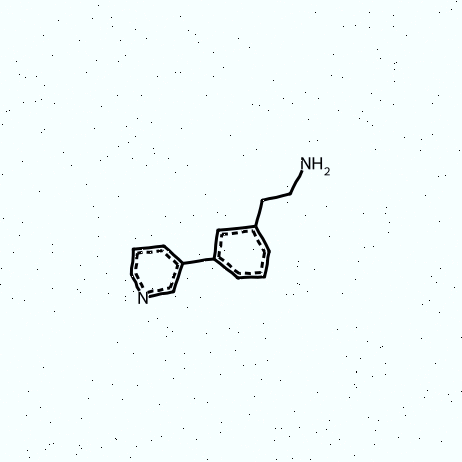 NCCc1cccc(-c2cccnc2)c1